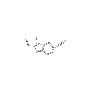 N#Cc1ccc2oc(C=O)c(I)c2c1